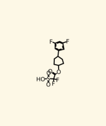 O=C(OC1CCC(c2cc(F)cc(F)c2)CC1)C(F)(F)S(=O)(=O)O